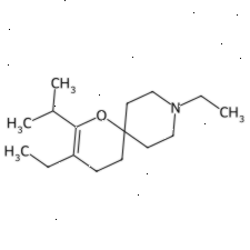 CCC1=C(C(C)C)OC2(CC1)CCN(CC)CC2